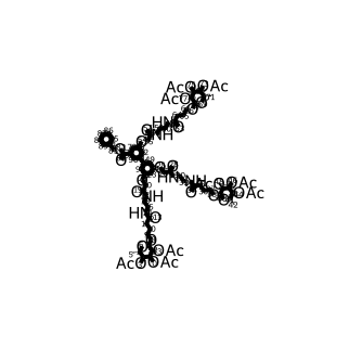 CC(=O)OC1C(OC(C)=O)[C@H](C)OC(OCCCC(=O)NCCNC(=O)COc2cc(OCC(=O)NCCNC(=O)CCCOC3O[C@@H](C)C(OC(C)=O)C(OC(C)=O)[C@@H]3OC(C)=O)cc(-c3cc(OCC(=O)NCCNC(=O)CCCOC4O[C@@H](C)C(OC(C)=O)C(OC(C)=O)[C@@H]4OC(C)=O)cc(C(=O)OCc4ccccc4)c3)c2)[C@H]1OC(C)=O